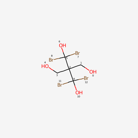 OCC(CO)(C(O)(Br)Br)C(O)(Br)Br